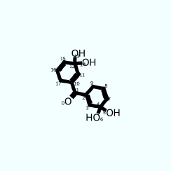 O=C(C1=CC(O)(O)C=CC1)C1=CC(O)(O)C=CC1